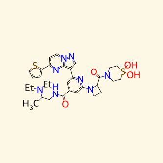 CCN(CC)C(C)CNC(=O)c1cc(-c2cnn3ccc(-c4cccs4)nc23)nc(N2CCC2C(=O)N2CCS(O)(O)CC2)c1